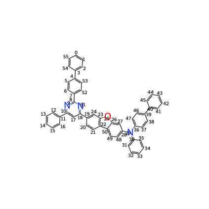 c1ccc(-c2ccc(-c3nc(-c4ccccc4)cc(-c4ccc5c(c4)oc4cc(N(c6ccccc6)c6ccc(-c7ccccc7)cc6)ccc45)n3)cc2)cc1